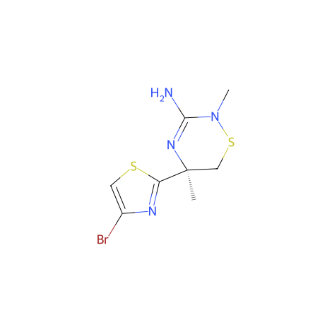 CN1SC[C@@](C)(c2nc(Br)cs2)N=C1N